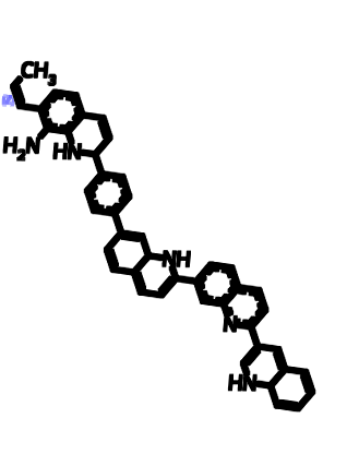 C/C=C\c1ccc2c(c1N)NC(c1ccc(C3=CC4NC(c5ccc6ccc(C7=CNC8C=CC=CC8=C7)nc6c5)=CC=C4C=C3)cc1)C=C2